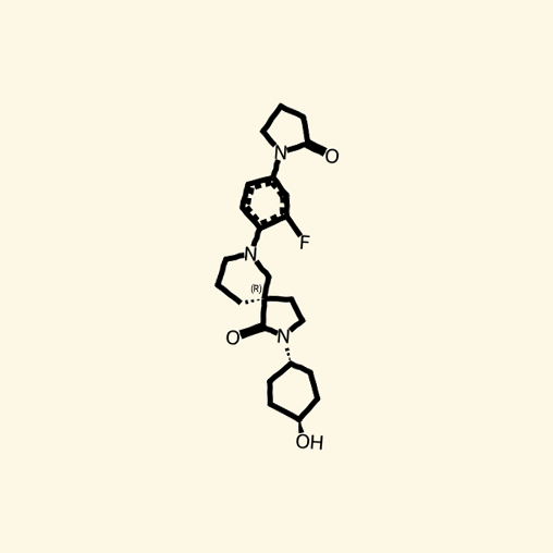 O=C1CCCN1c1ccc(N2CCC[C@@]3(CCN([C@H]4CC[C@H](O)CC4)C3=O)C2)c(F)c1